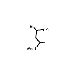 CCCCCC(C)CC(CC)CCC